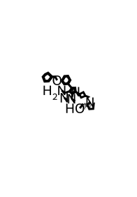 CN1CN=C(N)c2c(-c3cccc(OCc4ccccc4)c3)cn(C3CC(CN4CCC[C@@H]4CO)C3)c21